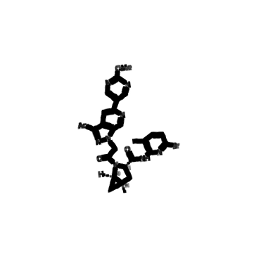 COc1ncc(-c2cc3c(C(C)=O)nn(CC(=O)N4[C@H](C(=O)Nc5nc(Br)ccc5C)C[C@@]5(C)C[C@@H]45)c3cn2)cn1